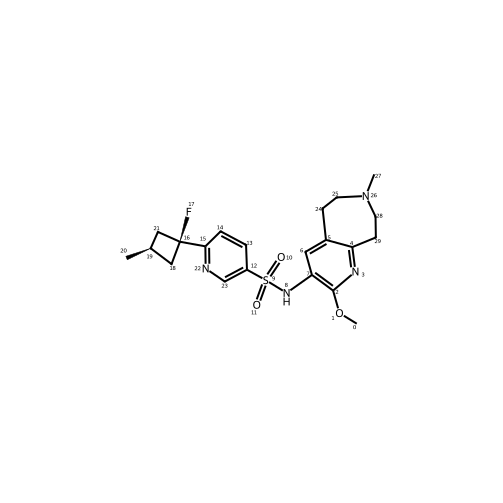 COc1nc2c(cc1NS(=O)(=O)c1ccc([C@]3(F)C[C@@H](C)C3)nc1)CCN(C)CC2